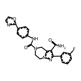 NC(=O)c1c(-c2cccc(F)c2)nn2c1CN(C(=O)Nc1ccc(-c3ncco3)cc1)CC2